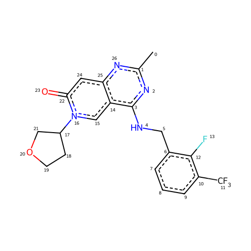 Cc1nc(NCc2cccc(C(F)(F)F)c2F)c2cn(C3CCOC3)c(=O)cc2n1